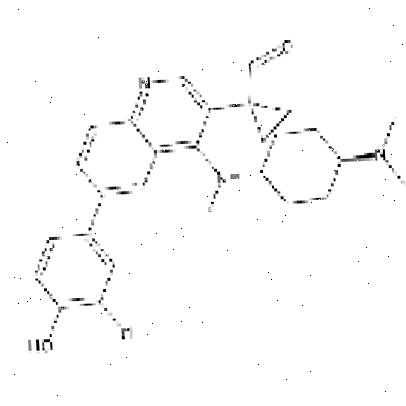 CN(C)[C@H]1CC[C@H](N(C)c2c(C3(C=O)CC3)cnc3ccc(-c4ccc(O)c(Cl)c4)cc23)CC1